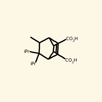 CC(C)C1(C(C)C)C(C)C2C=CC1C(C(=O)O)C2C(=O)O